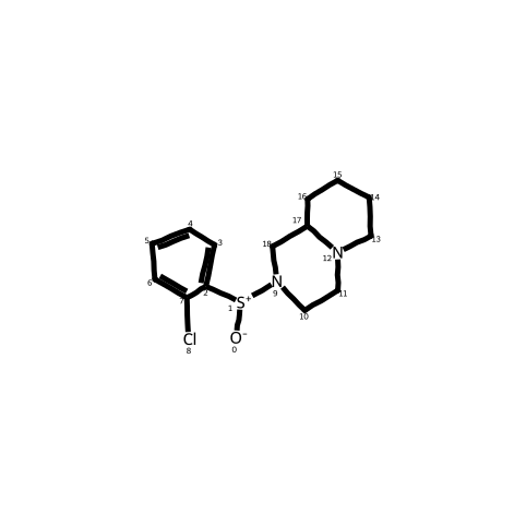 [O-][S+](c1ccccc1Cl)N1CCN2CCCCC2C1